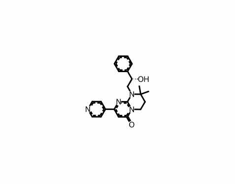 CC1(C)CCn2c(nc(-c3ccncc3)cc2=O)N1C[C@@H](O)c1ccccc1